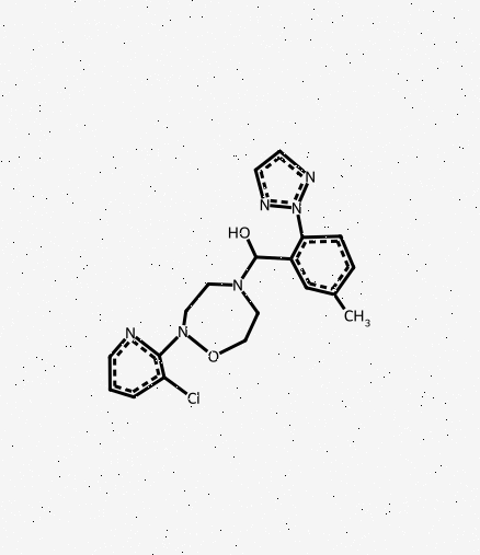 Cc1ccc(-n2nccn2)c(C(O)N2CCON(c3ncccc3Cl)CC2)c1